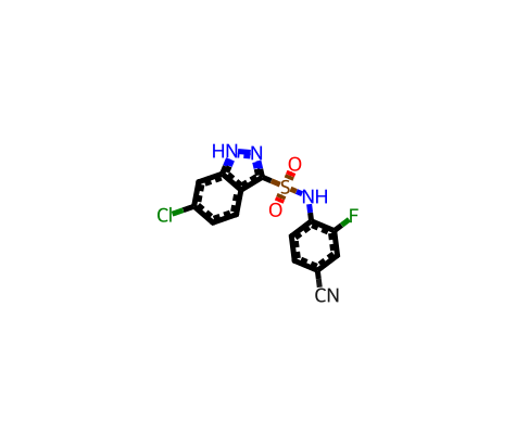 N#Cc1ccc(NS(=O)(=O)c2n[nH]c3cc(Cl)ccc23)c(F)c1